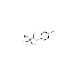 CC(C)(C)C(=O)Oc1ccc(Br)cc1